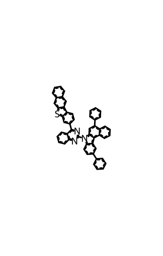 c1ccc(-c2ccc3c(c2)c2c4ccccc4c(-c4ccccc4)cc2n3-c2nc(-c3ccc4c(c3)sc3cc5ccccc5cc34)c3ccccc3n2)cc1